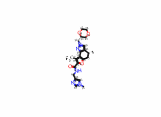 C[C@@H]1Cc2oc(C(=O)NCc3cn(C)cn3)c(C(F)(F)F)c2-c2nn(C[C@H]3COCCO3)cc21